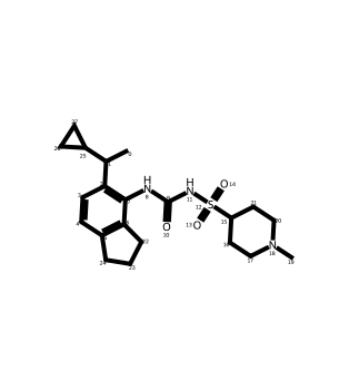 CC(c1ccc2c(c1NC(=O)NS(=O)(=O)C1CCN(C)CC1)CCC2)C1CC1